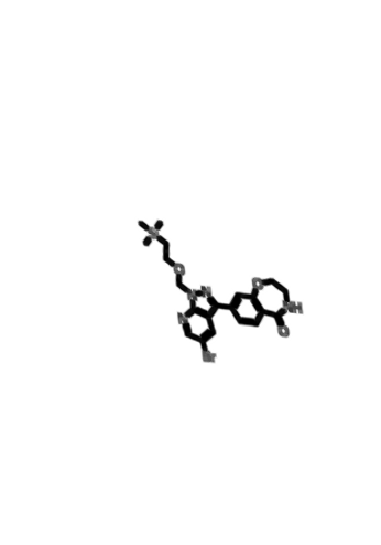 C[Si](C)(C)CCOCn1nc(-c2ccc3c(c2)OCCNC3=O)c2cc(Br)cnc21